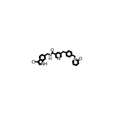 O=C(NCc1ccc2c(Cl)c[nH]c2c1)c1cncc(Cc2ccc(Cn3ccccc3=O)cc2)c1